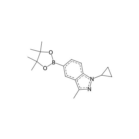 Cc1nn(C2CC2)c2ccc(B3OC(C)(C)C(C)(C)O3)cc12